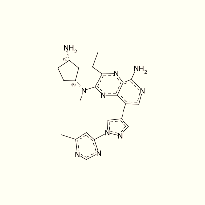 CCc1nc2c(N)ncc(-c3cnn(-c4cc(C)ncn4)c3)c2nc1N(C)[C@@H]1CC[C@H](N)C1